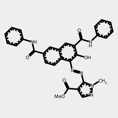 COC(=O)c1cnn(C)c1/N=N/c1c(O)c(C(=O)Nc2ccccc2)cc2cc(C(=O)Nc3ccccc3)ccc12